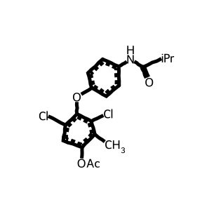 CC(=O)Oc1cc(Cl)c(Oc2ccc(NC(=O)C(C)C)cc2)c(Cl)c1C